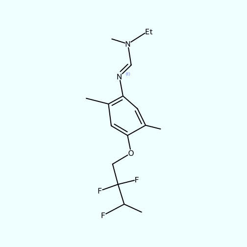 CCN(C)/C=N/c1cc(C)c(OCC(F)(F)C(C)F)cc1C